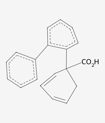 O=C(O)C1(c2ccccc2-c2ccccc2)C=CC=CC1